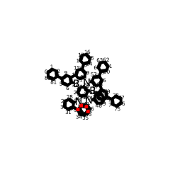 c1ccc(-c2ccc3c(c2)-c2cc(-c4ccccc4)cc4c2B3c2cc(-n3c5ccccc5c5ccccc53)c(N(c3ccccc3)c3ccccc3)c3c2N4c2cc(-c4ccccc4)cc4c2B3c2ccc(-c3ccccc3)cc2-4)cc1